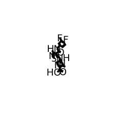 Cc1nc(Nc2snc(C)c2C(=O)Nc2ccc(F)c(F)c2)cnc1C(=O)O